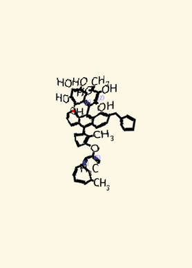 C=C(O)/C(O)=C(O)\C(=C1/CC(O)=C(O)C(O)=C1O)c1c2ccccc2c(-c2cccc(OC(/C=C3/C=CC=CC(C)C3)=C/C)c2C)c2ccc(Cc3ccccc3)cc12